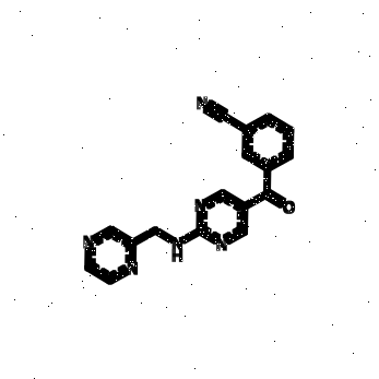 N#Cc1cccc(C(=O)c2cnc(NCc3cnccn3)nc2)c1